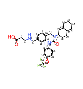 O=C(O)CCNCc1ccc(CN(C(=O)Nc2ccc(OC(F)(F)F)cc2)C2CCC3CCCCC3C2)cc1